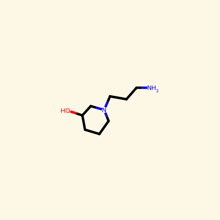 NCCCN1CCCC(O)C1